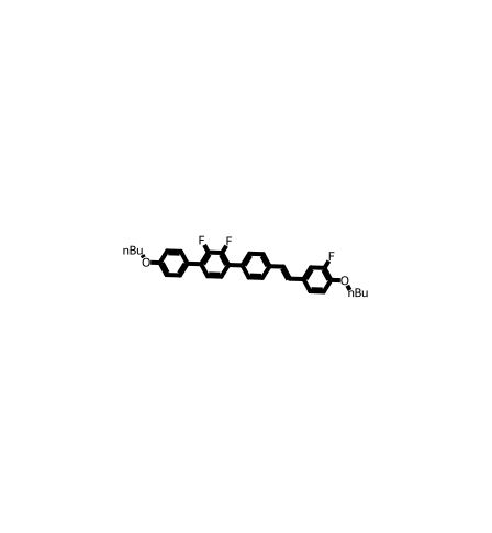 CCCCOc1ccc(-c2ccc(-c3ccc(/C=C/c4ccc(OCCCC)c(F)c4)cc3)c(F)c2F)cc1